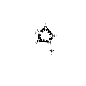 [Na].n1nn[nH]n1